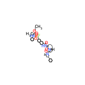 CCCOC(=O)[C@H](C)NP(=O)(Oc1ccccc1)C(F)c1ccc2ccc(C(=O)N[C@H]3CCCC[C@H]4CC[C@@H](C(=O)N5CC(c6ccccc6)CC56CC6)N4C3=O)cc2c1